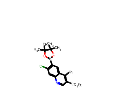 CCOC(=O)c1cnc2cc(Cl)c(B3OC(C)(C)C(C)(C)O3)cc2c1C(C)C